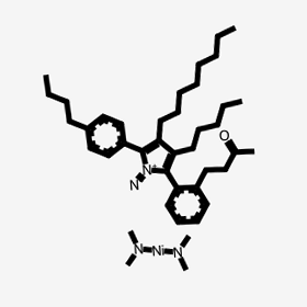 CCCCCCCCC1=C(c2ccc(CCCC)cc2)[N+](=[N-])C(c2ccccc2CCC(C)=O)=C1CCCCC.C[N](C)[Ni][N](C)C